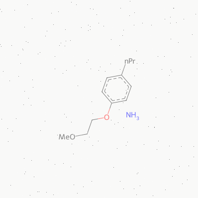 CCCc1ccc(OCCOC)cc1.N